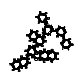 c1ccc(-c2cccc(-c3nc(-c4ccccc4)nc(-c4ccc(-c5ccc(-c6ccc7ccccc7c6)c6oc7cc8ccccc8cc7c56)c5ccccc45)n3)c2)cc1